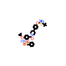 CC(C)(C)c1nnc(Oc2ccc(C3CCN(C(=O)c4ccc(OC5CC5)c(NS(=O)(=O)Cc5ccccc5)c4)CC3)cc2)s1